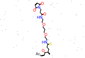 C=C(CCC(=S)NCCOCCCOCCNC(=O)CCN1C(=O)C=CC1=O)C(=O)/C=C\C(C)=O